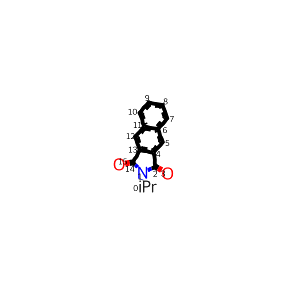 CC(C)N1C(=O)c2cc3ccccc3cc2C1=O